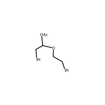 CC(=O)OC(CC(C)C)OCCC(C)C